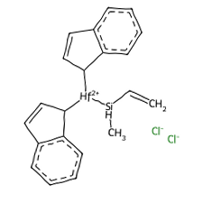 C=C[SiH](C)[Hf+2]([CH]1C=Cc2ccccc21)[CH]1C=Cc2ccccc21.[Cl-].[Cl-]